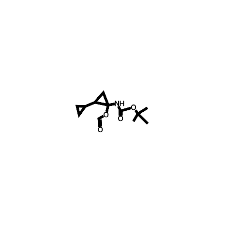 CC(C)(C)OC(=O)NC1(OC=O)CC1C1CC1